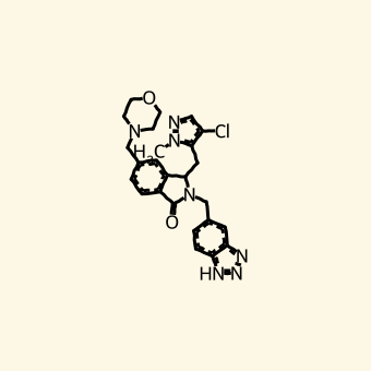 Cn1ncc(Cl)c1CC1c2cc(CN3CCOCC3)ccc2C(=O)N1Cc1ccc2[nH]nnc2c1